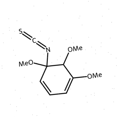 COC1=CC=CC(N=C=S)(OC)C1OC